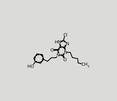 CCCCCn1c(=O)n(CCCc2cccc(O)c2)c(=O)c2[nH]c(Cl)nc21